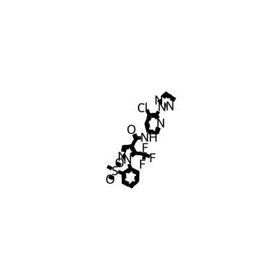 CS(=O)(=O)c1ccccc1-n1ncc(C(=O)Nc2cnc(-n3nccn3)c(Cl)c2)c1C(F)(F)F